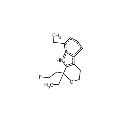 CCc1cccc2c3c([nH]c12)C(CC)(CCF)OCC3